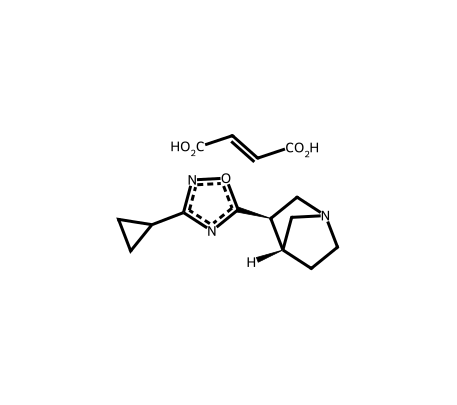 C1CC1c1noc([C@H]2CN3CC[C@H]2C3)n1.O=C(O)/C=C/C(=O)O